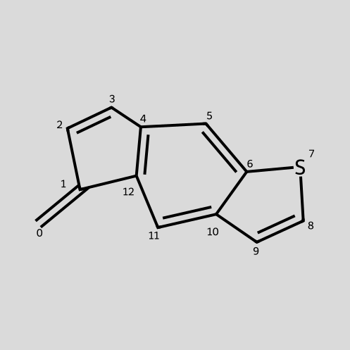 C=C1C=Cc2cc3sccc3cc21